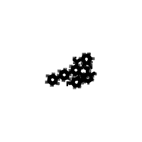 Cc1ccc2c(oc3cc(F)ccc32)c1-c1nc2ccccc2n1-c1c(C(C)C)cc(-c2ccc(-c3ccccc3)cc2)cc1C(C)C